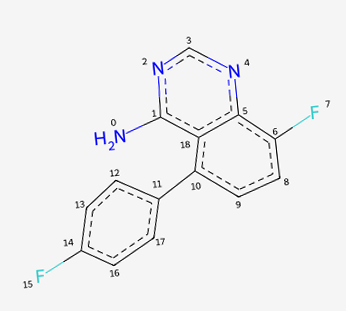 Nc1ncnc2c(F)ccc(-c3ccc(F)cc3)c12